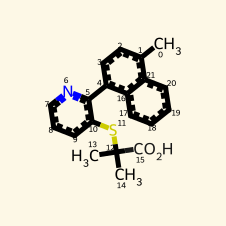 Cc1ccc(-c2ncccc2SC(C)(C)C(=O)O)c2ccccc12